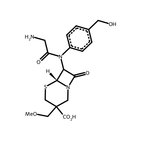 COCC1(C(=O)O)CS[C@@H]2C(N(C(=O)CN)c3ccc(CO)cc3)C(=O)N2C1